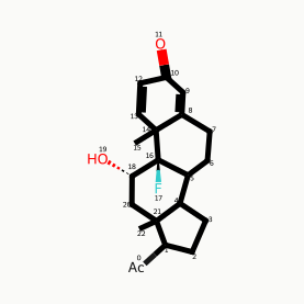 CC(=O)C1CCC2C3CCC4=CC(=O)C=CC4(C)[C@@]3(F)[C@@H](O)CC12C